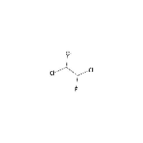 [O]C(Cl)C(F)Cl